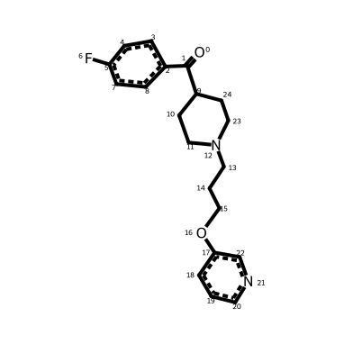 O=C(c1ccc(F)cc1)C1CCN(CCCOc2cccnc2)CC1